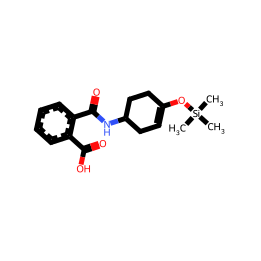 C[Si](C)(C)OC1=CCC(NC(=O)c2ccccc2C(=O)O)CC1